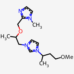 COCCC(C)n1cc[n+](CC(C)OCc2nccn2C)c1